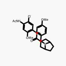 COc1ccc(CN2C3CCC2CC(C(=O)Nc2cc(Cl)c(NC(C)=O)cc2OC)C3)cc1